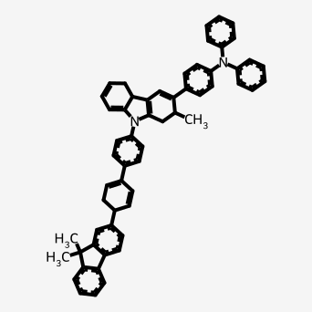 CC1CC2=C(C=C1c1ccc(N(c3ccccc3)c3ccccc3)cc1)C1CC=CC=C1N2c1ccc(C2=CCC(c3ccc4c(c3)C(C)(C)c3ccccc3-4)C=C2)cc1